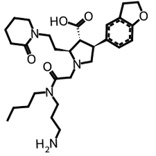 CCCCN(CCCN)C(=O)CN1C[C@H](c2ccc3c(c2)CCO3)[C@@H](C(=O)O)[C@@H]1CCN1CCCCC1=O